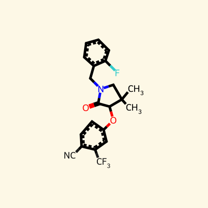 CC1(C)CN(Cc2ccccc2F)C(=O)C1Oc1ccc(C#N)c(C(F)(F)F)c1